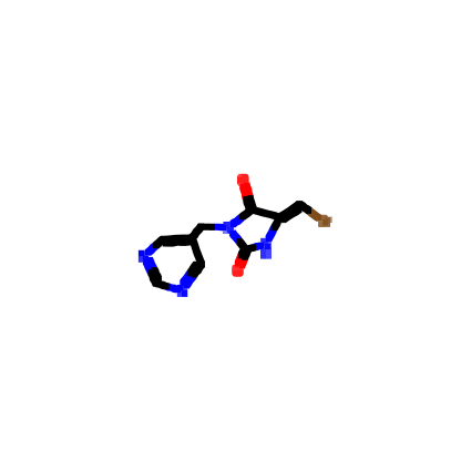 O=C1N/C(=C\Br)C(=O)N1Cc1cncnc1